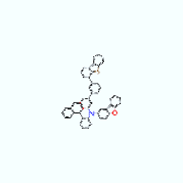 c1cc(-c2cccc(N(c3ccc4oc5ccccc5c4c3)c3ccccc3-c3cccc4ccccc34)c2)cc(-c2cccc3c2sc2ccccc23)c1